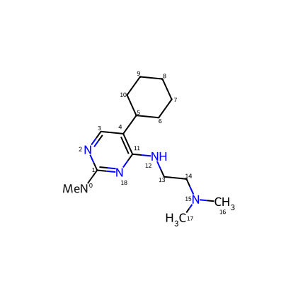 CNc1ncc(C2CCCCC2)c(NCCN(C)C)n1